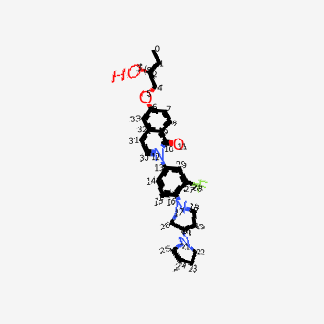 CC[C@H](O)COc1ccc2c(=O)n(-c3ccc(N4CC[C@@H](N5CCCC5)C4)c(F)c3)ccc2c1